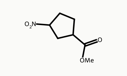 COC(=O)C1CCC([N+](=O)[O-])C1